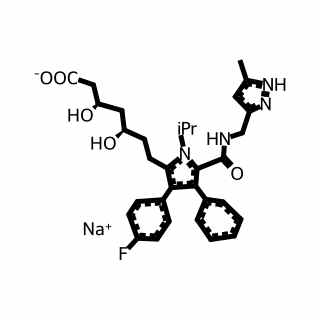 Cc1cc(CNC(=O)c2c(-c3ccccc3)c(-c3ccc(F)cc3)c(CC[C@@H](O)C[C@@H](O)CC(=O)[O-])n2C(C)C)n[nH]1.[Na+]